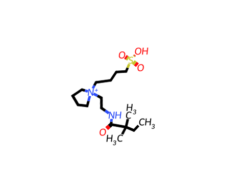 CCC(C)(C)C(=O)NCC[N+]1(CCCCS(=O)(=O)O)CCCC1